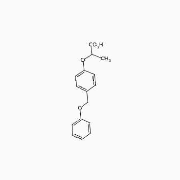 CC(Oc1ccc(COc2ccccc2)cc1)C(=O)O